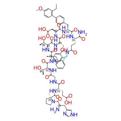 CCc1cc(OC)ccc1-c1ccc(C[C@H](NC(=O)[C@H](CC(=O)O)NC(=O)[C@H](CO)NC(=O)[C@@H](NC(=O)[C@](C)(Cc2ccccc2F)NC(=O)[C@@H](NC(=O)CNC(=O)[C@H](CCC(=O)O)NC(=O)[C@]2(C)CCCN2C(=O)[C@@H](N)Cc2c[nH]cn2)[C@@H](C)O)[C@@H](C)O)C(=O)N[C@@H](CCC(=O)N2Cc3ccccc3C2)C(N)=O)cc1